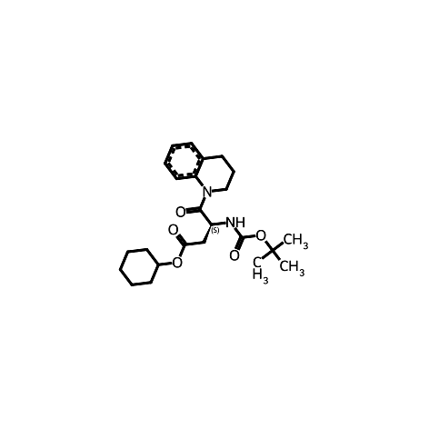 CC(C)(C)OC(=O)N[C@@H](CC(=O)OC1CCCCC1)C(=O)N1CCCc2ccccc21